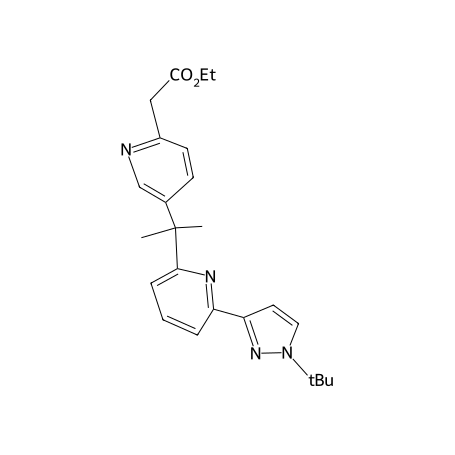 CCOC(=O)Cc1ccc(C(C)(C)c2cccc(-c3ccn(C(C)(C)C)n3)n2)cn1